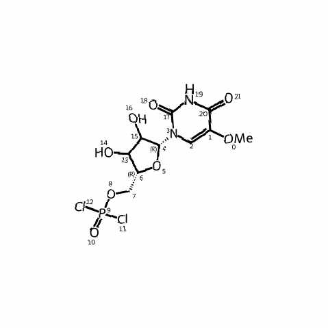 COc1cn([C@@H]2O[C@H](COP(=O)(Cl)Cl)C(O)C2O)c(=O)[nH]c1=O